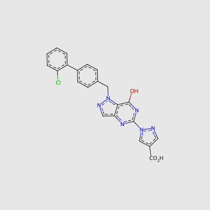 O=C(O)c1cnn(-c2nc(O)c3c(cnn3Cc3ccc(-c4ccccc4Cl)cc3)n2)c1